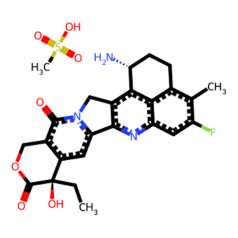 CC[C@]1(O)C(=O)OCc2c1cc1n(c2=O)Cc2c-1nc1cc(F)c(C)c3c1c2[C@H](N)CC3.CS(=O)(=O)O